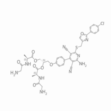 C[C@H](NC(=O)CN)C(=O)OC[C@H](COc1ccc(-c2c(C#N)c(N)nc(SCc3coc(-c4ccc(Cl)cc4)n3)c2C#N)cc1)OC(=O)[C@H](C)NC(=O)CN